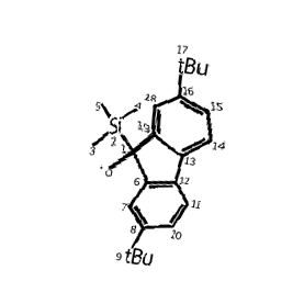 [CH2]C1([Si](C)(C)C)c2cc(C(C)(C)C)ccc2-c2ccc(C(C)(C)C)cc21